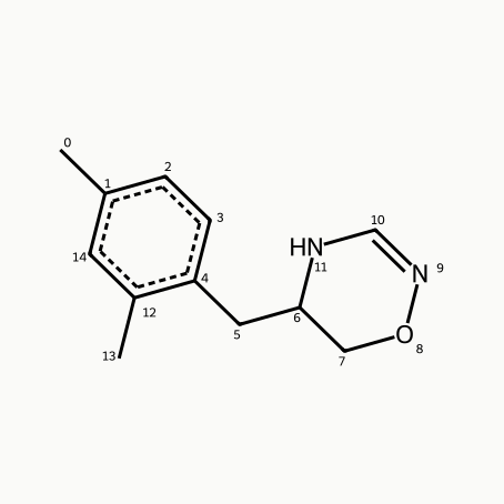 Cc1ccc(CC2CON=CN2)c(C)c1